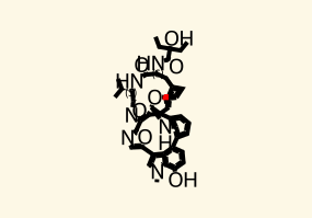 CCC(O)(CC)C(=O)N[C@H]1Cc2ccc3c(c2)C24c5cccc(c5NC2O3)-c2ccc(O)c3c2c(cn3C)-c2cnc(o2)-c2nc(oc24)[C@H](C(C)C)NC1=O